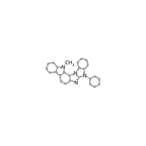 Cn1c2ccccc2c2ccc3nc4n(-c5ccccc5)c5ccccc5n4c3c21